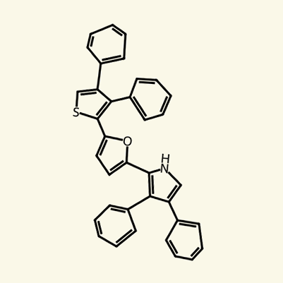 c1ccc(-c2c[nH]c(-c3ccc(-c4scc(-c5ccccc5)c4-c4ccccc4)o3)c2-c2ccccc2)cc1